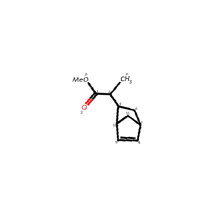 COC(=O)C(C)C1CC2C=CC1C2